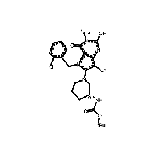 Cn1c(O)nc2c(C#N)c(N3CCC[C@@H](NC(=O)OC(C)(C)C)C3)n(Cc3ccccc3Cl)c2c1=O